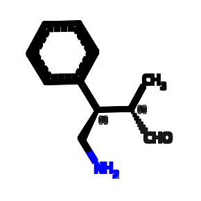 C[C@H](C=O)[C@@H](CN)c1ccccc1